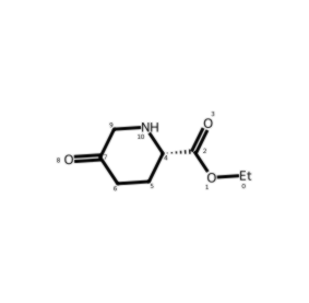 CCOC(=O)[C@@H]1CCC(=O)CN1